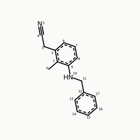 Cc1c(CC#N)cccc1NCc1ccccc1